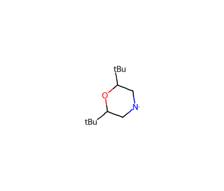 CC(C)(C)C1C[N]CC(C(C)(C)C)O1